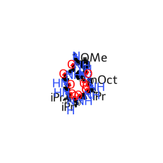 CCCCCCCC[C@H](NC(=O)[C@@H]1CCCN1C(=O)c1ccc(OC)cc1)C(=O)N[C@@H](CC(C)C)C(=O)NC(C)(C)C(=O)N[C@@H](CC(C)C)C(=O)N[C@@H](CC(C)C)C(=O)NC(C)(C)C(=O)NC(C)(C)C(=O)NCCC(=O)N[C@@H](C)CN(C)C